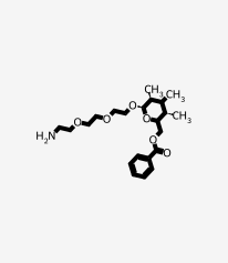 CC1[C@H](C)C(COC(=O)c2ccccc2)O[C@H](OCCOCCOCCN)[C@@H]1C